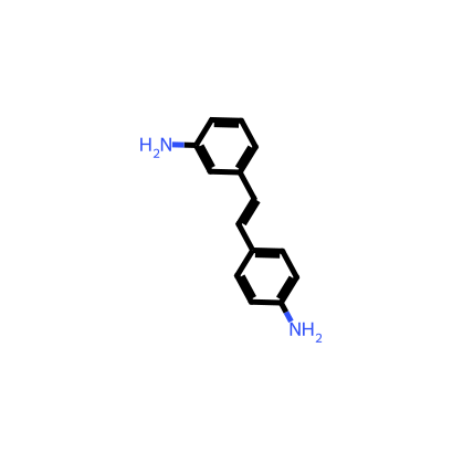 Nc1ccc(C=Cc2cccc(N)c2)cc1